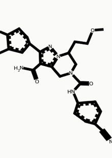 COCCC1CN(C(=O)Nc2ccc(C#N)cc2)Cc2c(C(N)=O)c(-c3ccc(F)c(Cl)c3)nn21